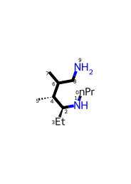 CCCN[C@@H](CC)[C@H](C)C(C)CN